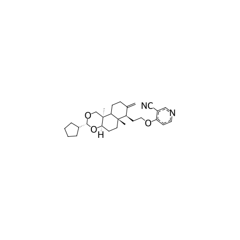 C=C1CCC2[C@]3(C)CO[C@@H](C4CCCC4)O[C@@H]3CC[C@@]2(C)[C@@H]1CCOc1ccncc1C#N